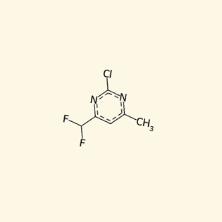 Cc1cc(C(F)F)nc(Cl)n1